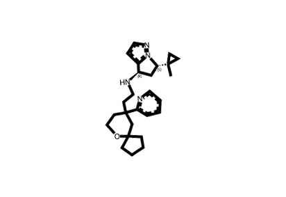 CC1([C@@H]2C[C@@H](NCCC3(c4ccccn4)CCOC4(CCCC4)C3)c3ccnn32)CC1